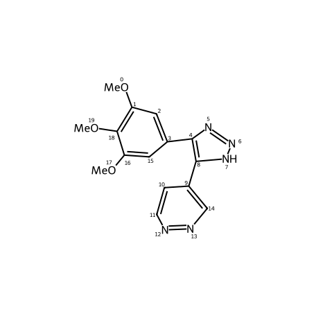 COc1cc(-c2nn[nH]c2-c2ccnnc2)cc(OC)c1OC